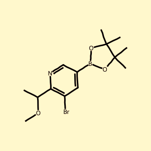 COC(C)c1ncc(B2OC(C)(C)C(C)(C)O2)cc1Br